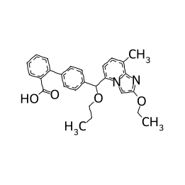 CCCOC(c1ccc(-c2ccccc2C(=O)O)cc1)c1ccc(C)c2nc(OCC)cn12